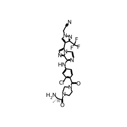 C[C@H](N)C(=O)N1CCN(C(=O)c2ccc(Nc3nccn4c(-c5cn(CC#N)nc5C(F)(F)F)cnc34)cc2Cl)CC1